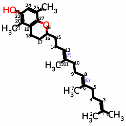 CC(C)=CCC/C(C)=C/CC/C(C)=C/CCC1CCc2c(C)c(O)cc(C)c2O1